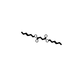 CC/C=C/CCOC(=O)CCC(=O)OCC/C=C/CC